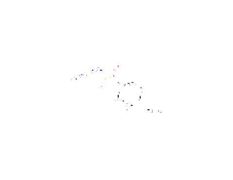 CC(=O)N[As]1C=CC(S(=O)(=O)N=[N+]=[N-])=CC1